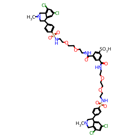 CN1Cc2c(Cl)cc(Cl)cc2C(c2ccc(S(=O)(=O)NCCOCCOCCNC(=O)c3cc(C(=O)NCCOCCOCCNS(=O)(=O)c4ccc(C5CN(C)Cc6c(Cl)cc(Cl)cc65)cc4)cc(S(=O)(=O)O)c3)cc2)C1